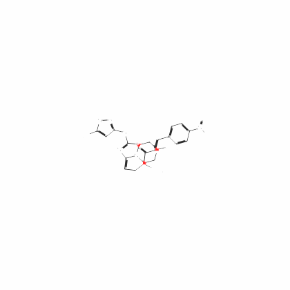 Cc1cc(NC2=N/C(N3CCN(C)CC3)=C/CC(C)C(/C=C/c3ccc([N+](=O)[O-])cc3)=N\2)n[nH]1